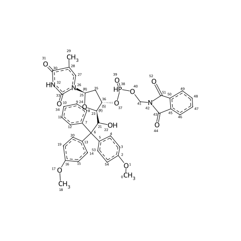 COc1ccc(C(c2ccccc2)(c2ccc(OC)cc2)C(O)[C@H]2O[C@@H](n3cc(C)c(=O)[nH]c3=O)C[C@@H]2O[PH](=O)OCN2C(=O)c3ccccc3C2=O)cc1